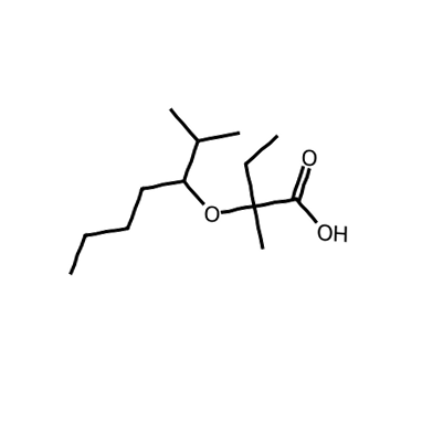 CCCCC(OC(C)(CC)C(=O)O)C(C)C